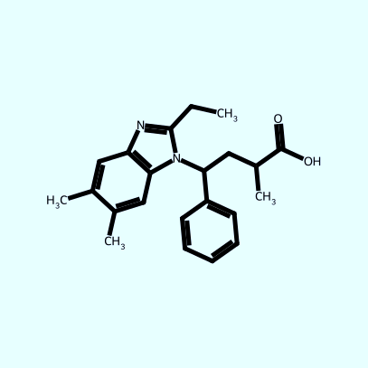 CCc1nc2cc(C)c(C)cc2n1C(CC(C)C(=O)O)c1ccccc1